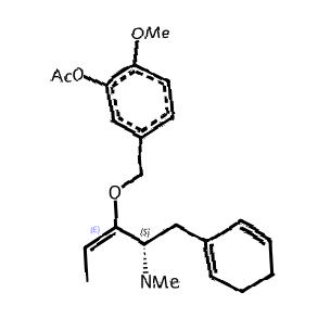 C/C=C(/OCc1ccc(OC)c(OC(C)=O)c1)[C@H](CC1=CCCC=C1)NC